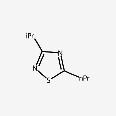 CCCc1nc(C(C)C)ns1